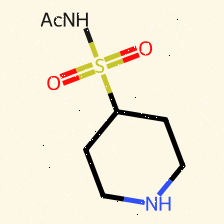 CC(=O)NS(=O)(=O)C1CCNCC1